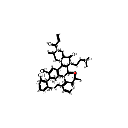 C=CC(=O)N1CC2C(=O)N(CCN(C)C)c3c(c4cc(Cl)c(-c5c(O)cccc5F)c(F)c4n(-c4c(CC)ccnc4C(C)C)c3=O)N2CC1C